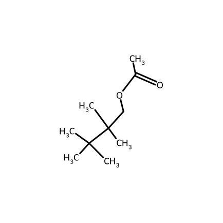 CC(=O)OCC(C)(C)C(C)(C)C